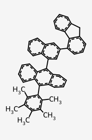 Cc1c(C)c(C)c(-c2c3ccccc3c(-c3cc(-c4cccc5c4-c4ccccc4C5)cc4ccccc34)c3ccccc23)c(C)c1C